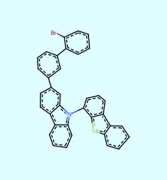 Brc1ccccc1-c1cccc(-c2ccc3c4ccccc4n(-c4cccc5c4sc4ccccc45)c3c2)c1